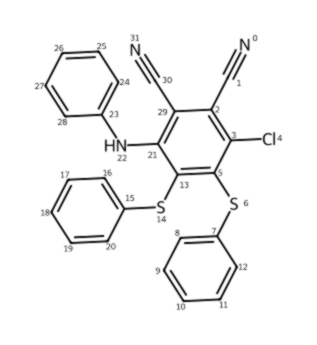 N#Cc1c(Cl)c(Sc2ccccc2)c(Sc2ccccc2)c(Nc2ccccc2)c1C#N